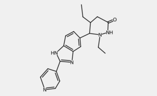 CCC1CC(=O)NN(CC)C1c1ccc2[nH]c(-c3ccncc3)nc2c1